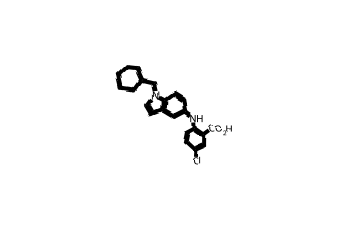 O=C(O)c1cc(Cl)ccc1Nc1ccc2c(ccn2CC2CCCCC2)c1